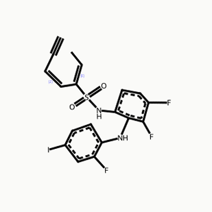 C#C/C=C\C(=C/C)S(=O)(=O)Nc1ccc(F)c(F)c1Nc1ccc(I)cc1F